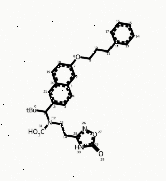 CC(C)(C)C(c1ccc2cc(OCCCc3ccccc3)ccc2c1)N(CCc1noc(=O)[nH]1)C(=O)O